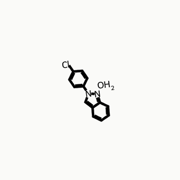 Clc1ccc(-n2cc3ccccc3n2)cc1.O